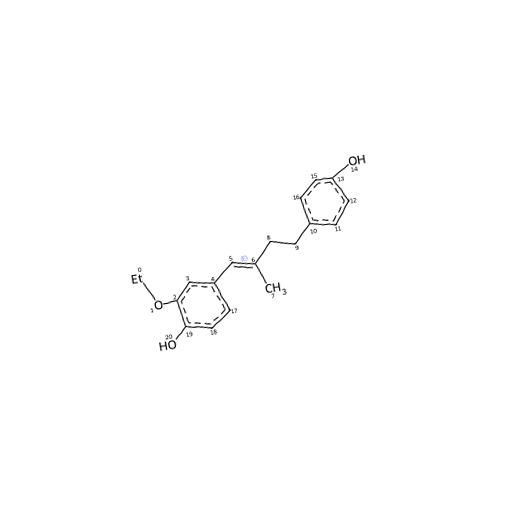 CCOc1cc(/C=C(\C)CCc2ccc(O)cc2)ccc1O